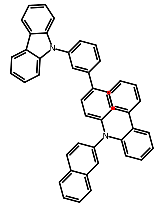 c1ccc(-c2ccccc2N(c2ccc(-c3cccc(-n4c5ccccc5c5ccccc54)c3)cc2)c2ccc3ccccc3c2)cc1